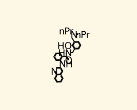 CCCN(CCC)Cc1cccc(CNC(=O)c2ccccc2Nc2cnc3ccccc3c2)c1O